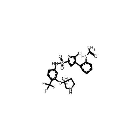 CC(=O)Nc1ccccc1-c1cc(S(=O)(=O)Nc2ccc(C(F)(F)F)c(O[C@]3(C)CCNC3)c2)sc1Cl